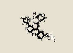 C[SiH2]c1cccc(-c2cc(N3CCOC[C@H]3C)nc3c(-c4ccn[nH]4)ncc(C)c23)c1